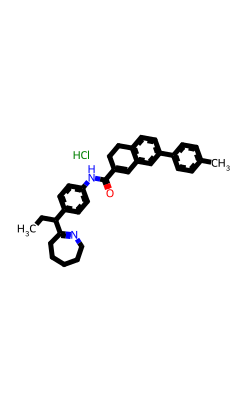 CCC(C1=NCCCCC1)c1ccc(NC(=O)C2=Cc3cc(-c4ccc(C)cc4)ccc3CC2)cc1.Cl